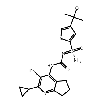 CC(C)c1c(C2CC2)nc2c(c1NC(=O)N=[S@](N)(=O)c1cc(C(C)(C)O)cs1)CCC2